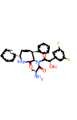 C[C@H](N)C(=O)N(C(=O)[C@@H](O)c1cc(F)cc(F)c1)[C@@H]1C(=O)N[C@H](c2ccccc2)C=C[C@H]1c1ccccc1